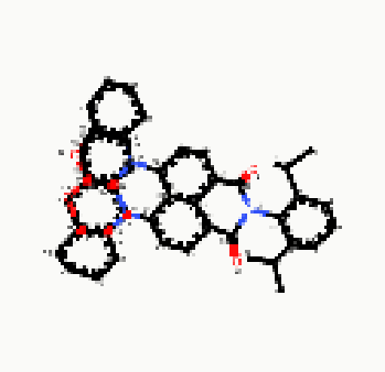 CC(C)c1cccc(C(C)C)c1N1C(=O)c2ccc(N3c4ccccc4Oc4ccccc43)c3c(N4c5ccccc5Oc5ccccc54)ccc(c23)C1=O